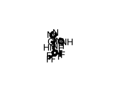 O=C(NNc1cc(C(F)(F)F)cc(C(F)(F)F)c1)C(c1cncnc1)N1CCNCC1